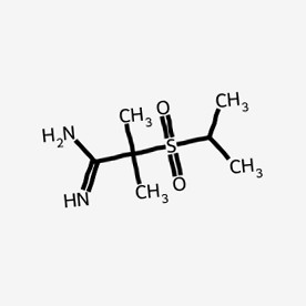 CC(C)S(=O)(=O)C(C)(C)C(=N)N